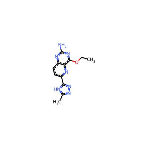 CCOc1nc(N)nc2ccc(-c3nnc(C)[nH]3)nc12